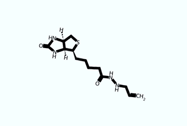 C=CCNNC(=O)CCCC[C@@H]1SC[C@@H]2NC(=O)N[C@@H]21